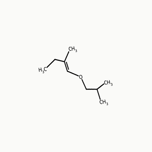 CCC(C)=COCC(C)C